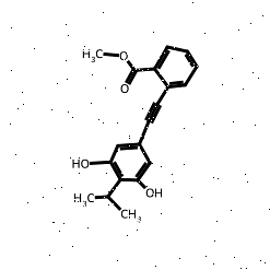 COC(=O)c1ccccc1C#Cc1cc(O)c(C(C)C)c(O)c1